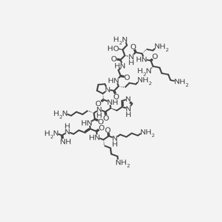 N=C(N)NCC/C=C(\NC(=O)[C@H](CCCCN)NC(=O)[C@H](Cc1cnc[nH]1)NC(=O)[C@@H]1CCCN1C(=O)[C@@H](CCCN)NC(=O)CNC(=O)[C@@H](NC(=O)[C@H](CCN)NC(=O)[C@@H](N)CCCCN)[C@@H](O)CN)C(=O)N[C@@H](CCCCN)C(=O)NCCCCN